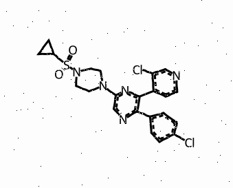 O=S(=O)(C1CC1)N1CCN(c2cnc(-c3ccc(Cl)cc3)c(-c3ccncc3Cl)n2)CC1